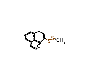 CSSC1=CCc2cccc3cccc1c23